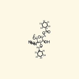 CO[C@H]1OC(COC(=O)c2ccccc2)C(O)[C@@H](OCc2ccccc2)C1N=[N+]=[N-]